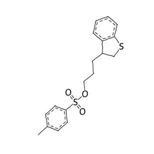 Cc1ccc(S(=O)(=O)OCCCC2CSc3ccccc32)cc1